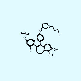 Cc1c(O)ccc2c1CCCC(c1ccc(OC(F)(F)F)cc1Cl)=C2c1ccc(O[C@H]2CCN(CCCF)C2)cc1